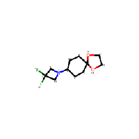 FC1(F)CN(C2CCC3(CC2)OCCO3)C1